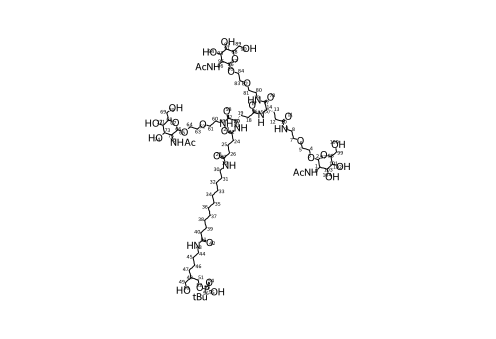 CC(=O)NC1C(OCCOCCNC(=O)CC[C@H](NC(=O)CC[C@H](NC(=O)CCCC(=O)NCCCCCCCCCCCC(=O)NCCCCC(CO)COP(=O)(O)C(C)(C)C)C(=O)NCCOCCOC2OC(CO)C(O)C(O)C2NC(C)=O)C(=O)NCCOCCOC2OC(CO)C(O)C(O)C2NC(C)=O)OC(CO)C(O)C1O